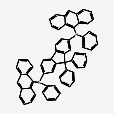 c1ccc(N(c2ccc3c(c2)C(c2ccccc2)(c2ccccc2)c2cc(N(c4ccccc4)c4c5ccccc5cc5ccccc45)ccc2-3)c2c3ccccc3cc3ccccc23)cc1